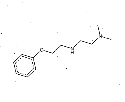 CN(C)CCNCCOc1cc[c]cc1